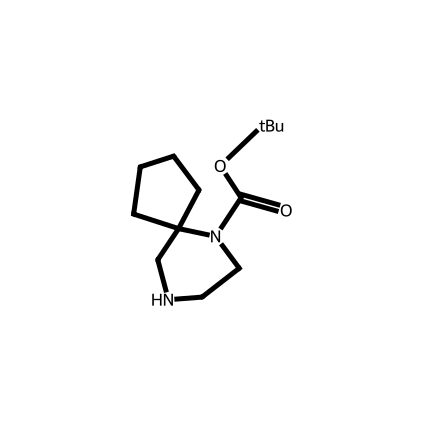 CC(C)(C)OC(=O)N1CCNCC12CCCC2